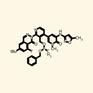 Cc1cc(Nc2cc(-c3ccnc(-n4ncc5cc(C(C)(C)C)cc(F)c5c4=O)c3COP(C)OCc3ccccc3)cn(C)c2=O)no1